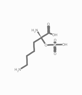 NCCCC[C@@](N)(OS(=O)(=O)O)C(=O)O